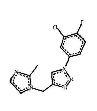 Cc1nccn1Cc1cn(-c2ccc(F)c(Cl)c2)nn1